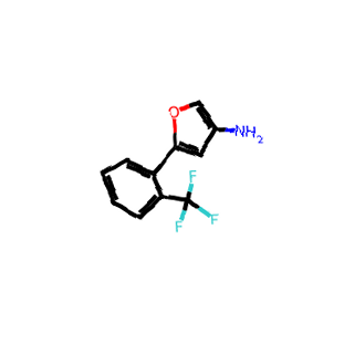 Nc1coc(-c2ccccc2C(F)(F)F)c1